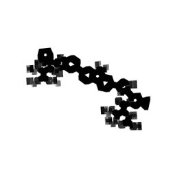 CC(C)C(N)C(=O)[C@]1(c2nc3ccc(-c4ccc5c(c4)C(F)(F)c4cc(-c6c[nH]c(C7CC8(CC8)CN7C(=O)C(NC(=O)O)C(C)C)n6)ccc4-5)cc3[nH]2)NC2CCC1C2